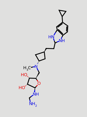 CN(C[C@H]1O[C@@H](NCN)[C@H](O)[C@@H]1O)[C@H]1C[C@H](CCC2Nc3ccc(C4CC4)cc3N2)C1